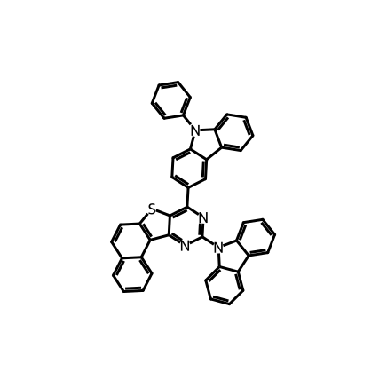 c1ccc(-n2c3ccccc3c3cc(-c4nc(-n5c6ccccc6c6ccccc65)nc5c4sc4ccc6ccccc6c45)ccc32)cc1